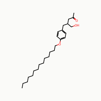 CCCCCCCCCCCCCCOc1ccc(CC(CO)CC(C)=O)cc1